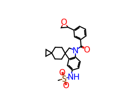 CS(=O)(=O)Nc1ccc2c(c1)C1(CCC3(CC3)CC1)CN2C(=O)c1cccc(C2CO2)c1